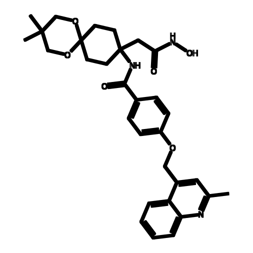 Cc1cc(COc2ccc(C(=O)NC3(CC(=O)NO)CCC4(CC3)OCC(C)(C)CO4)cc2)c2ccccc2n1